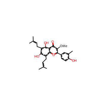 COc1c(-c2ccc(O)c(C)c2)oc2c(CC=C(C)C)c(O)c(CC=C(C)C)c(O)c2c1=O